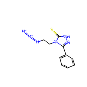 [N-]=[N+]=NCCn1c(-c2ccccc2)n[nH]c1=S